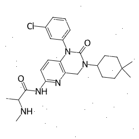 CNC(C)C(=O)Nc1ccc2c(n1)CN(C1CCC(C)(C)CC1)C(=O)N2c1cccc(Cl)c1